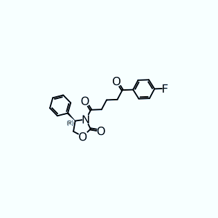 O=C(CCCC(=O)N1C(=O)OC[C@H]1c1ccccc1)c1ccc(F)cc1